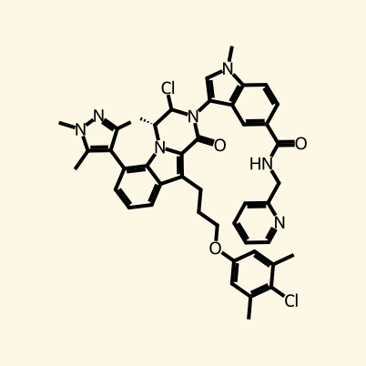 Cc1cc(OCCCc2c3n(c4c(-c5c(C)nn(C)c5C)cccc24)[C@H](C)C(Cl)N(c2cn(C)c4ccc(C(=O)NCc5ccccn5)cc24)C3=O)cc(C)c1Cl